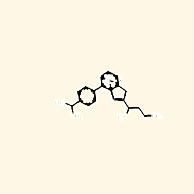 CCCC(C)C1=C2c3c(ccc(c3-c3ccc(C(C)C)cc3)[Si]2(C)C)[CH]1